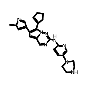 CC1C=C(c2cc3cnc(Nc4ccc(N5CCNCC5)cn4)nn3c2C2=CCCC2)C=N1